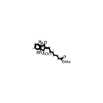 CCCCCCCC[C@@H]1/C(=C\CCCCCC(=O)OC)C(=O)[C@@H]2[C@H]1[C@H]1C=C[C@@H]2C1